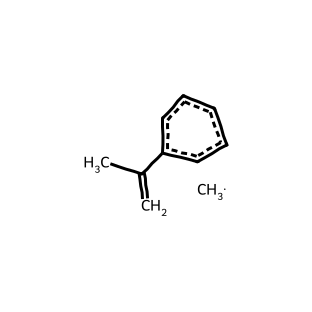 C=C(C)c1ccccc1.[CH3]